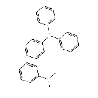 CN(I)c1ccccc1.c1ccc(P(c2ccccc2)c2ccccc2)cc1